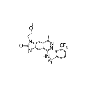 Cc1nnc(N[C@H](C)c2cccc(C(F)(F)F)c2)c2cc3c(cc12)n(CCOI)c(=O)n3C